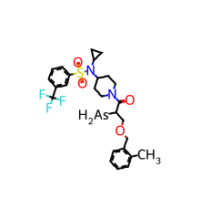 Cc1ccccc1COCC([AsH2])C(=O)N1CCC(N(C2CC2)S(=O)(=O)c2cccc(C(F)(F)F)c2)CC1